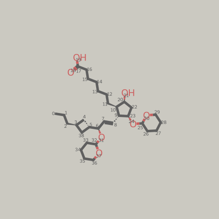 CCC[C@H]1C[C@H]([C@@H](C=C[C@@H]2[C@@H](CCCCCCC(=O)O)[C@@H](O)C[C@H]2OC2CCCCO2)OC2CCCCO2)C1